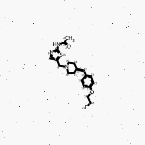 CC(=O)Nc1ncc(CN2CCC(=Cc3ccc(OCCF)cc3)CC2)s1